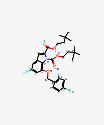 CC(C)(C)CCOC(=O)c1cc2cc(F)cc(OCc3ccc(F)cc3F)c2n1C(=O)OCCC(C)(C)C